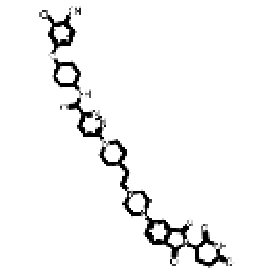 N#Cc1ccc(OC2CCC(NC(=O)c3ccc(N4CCC(CCN5CCN(c6ccc7c(c6)C(=O)N(C6CCC(=O)NC6=O)C7=O)CC5)CC4)nn3)CC2)cc1Cl